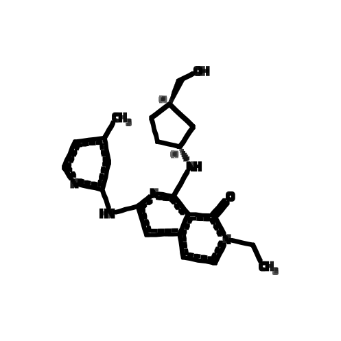 CCn1ccc2cc(Nc3cc(C)ccn3)nc(N[C@@H]3CC[C@@H](CO)C3)c2c1=O